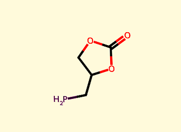 O=C1OCC(CP)O1